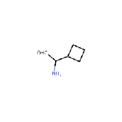 NC(C=O)C1CCC1